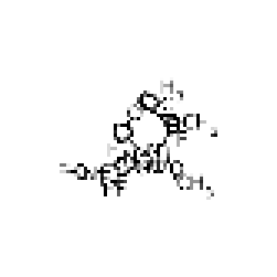 CCOC(=O)C[C@@H]1NC(=O)[C@@H](n2cc(CCN3CC(F)C3)c(C(F)(F)F)cc2=O)c2cc(ccc2F)Oc2cccc(C)c2-c2cc(C)c(F)c1c2F